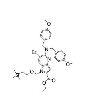 CCOC(=O)c1cc2nc(N(Cc3ccc(OC)cc3)Cc3ccc(OC)cc3)c(Br)cc2n1COCC[Si](C)(C)C